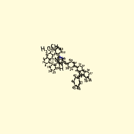 CC1(C)c2cc3ccccc3cc2-c2c(/C=C/C(NC(N)c3ccccc3)c3ccc(-c4ccc5c6ccccc6n(-c6ccccc6)c5c4)cc3)cccc21